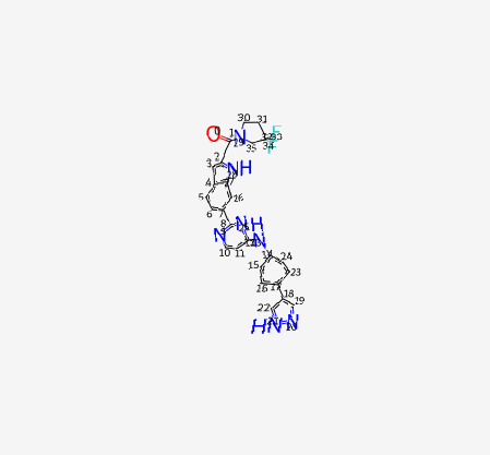 O=C(c1cc2ccc(-c3nccc(Nc4ccc(-c5cn[nH]c5)cc4)n3)cc2[nH]1)N1CCC(F)(F)C1